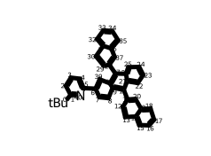 CC(C)(C)c1cccc(-c2ccc3c(-c4ccc5ccccc5c4)c4ccccc4c(-c4ccc5ccccc5c4)c3c2)n1